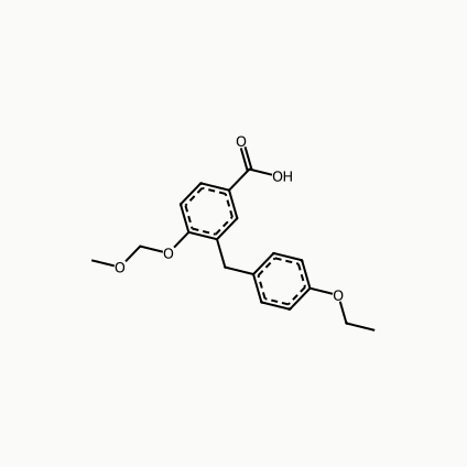 CCOc1ccc(Cc2cc(C(=O)O)ccc2OCOC)cc1